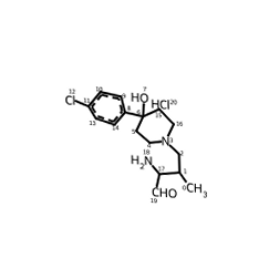 CC(CN1CCC(O)(c2ccc(Cl)cc2)CC1)C(N)C=O.Cl